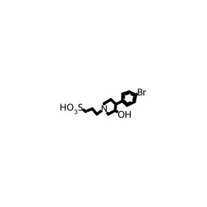 O=S(=O)(O)CCCN1CCC(c2ccc(Br)cc2)C(O)C1